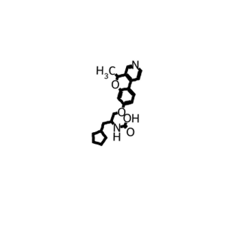 CC1Oc2cc(OCC(CC3CCCC3)NC(=O)O)ccc2-c2ccncc21